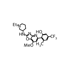 CCN1CCC[C@@H](Nc2nc3nc(-c4c(C)cc(C(F)(F)F)cc4O)cc(OC)c3o2)C1